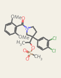 COc1cccc(OC)c1C(=O)N1CCC(c2ccc(Cl)c(Cl)c2)(C(C)OS(C)(=O)=O)C1